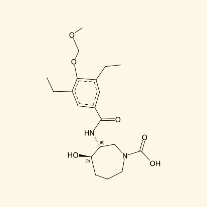 CCc1cc(C(=O)N[C@@H]2CN(C(=O)O)CCC[C@H]2O)cc(CC)c1OCOC